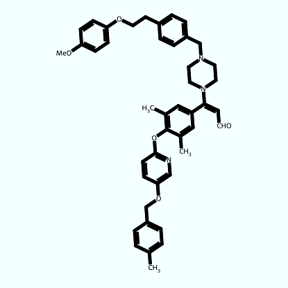 COc1ccc(OCCc2ccc(CN3CCN(/C(=C/C=O)c4cc(C)c(Oc5ccc(OCc6ccc(C)cc6)cn5)c(C)c4)CC3)cc2)cc1